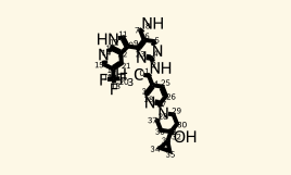 CC(Nc1ncc(C=N)c(-c2c[nH]c3ncc(C(F)(F)F)cc23)n1)c1ccc(N2CCC(O)(C3CC3)CC2)nc1